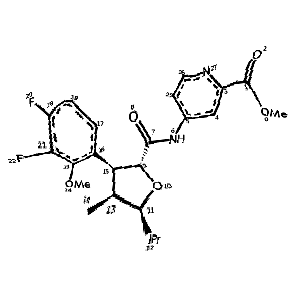 COC(=O)c1cc(NC(=O)[C@@H]2O[C@@H](C(C)C)[C@@H](C)[C@H]2c2ccc(F)c(F)c2OC)ccn1